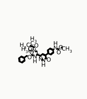 COC(=O)Nc1ccc(-c2cc([C@H](CNC(=O)C(C)(C)C)NC(=O)OCc3ccccc3)n[nH]c2=O)cc1